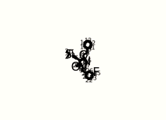 C[Si](C)(C)C#Cc1c(OCc2ccccc2)ncn(Cc2cccc(F)c2)c1=O